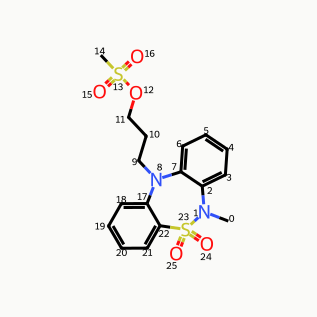 CN1c2ccccc2N(CCCOS(C)(=O)=O)c2ccccc2S1(=O)=O